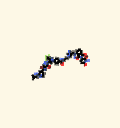 O=C1CCC(N2C(=O)c3cccc(NCc4cn(CCCNC(=O)c5ccc(-n6cc(NC(=O)c7coc(-c8ccnc(NCC9CC9)c8)n7)c(C(F)(F)F)n6)cc5)cn4)c3C2=O)C(=O)N1